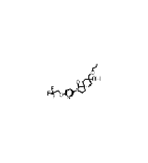 CCCOC[C@]1(O)CC[C@@]2(CCN(c3ccc(OCC(F)(F)F)nc3)C2=O)CC1